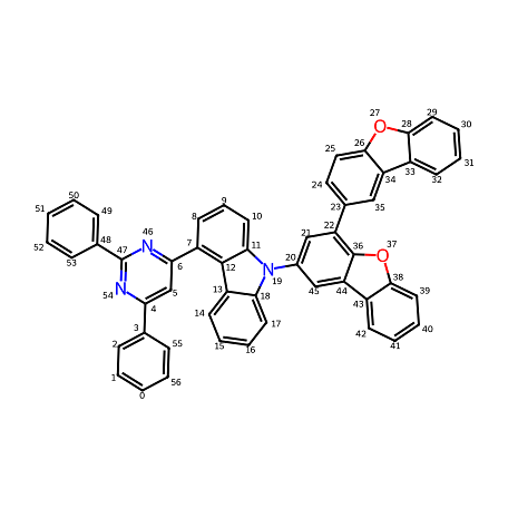 c1ccc(-c2cc(-c3cccc4c3c3ccccc3n4-c3cc(-c4ccc5oc6ccccc6c5c4)c4oc5ccccc5c4c3)nc(-c3ccccc3)n2)cc1